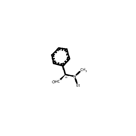 CCN(C)[C@@H]([C]=O)c1ccccc1